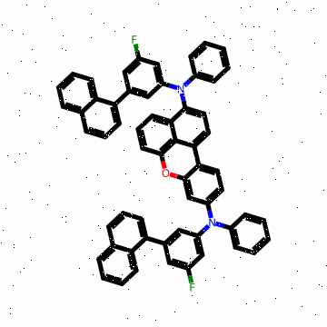 Fc1cc(-c2cccc3ccccc23)cc(N(c2ccccc2)c2ccc3c(c2)Oc2cccc4c(N(c5ccccc5)c5cc(F)cc(-c6cccc7ccccc67)c5)ccc-3c24)c1